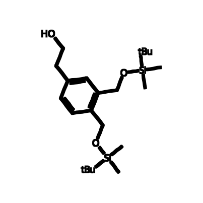 CC(C)(C)[Si](C)(C)OCc1ccc(CCO)cc1CO[Si](C)(C)C(C)(C)C